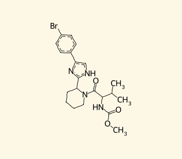 COC(=O)NC(C(=O)N1CCCCC1c1nc(-c2ccc(Br)cc2)c[nH]1)C(C)C